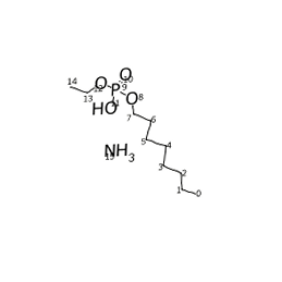 CCCCCCCCOP(=O)(O)OCC.N